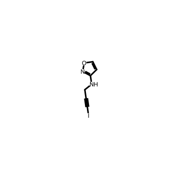 IC#CCNc1ccon1